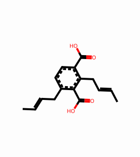 CC=CCc1ccc(C(=O)O)c(CC=CC)c1C(=O)O